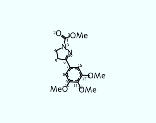 COC(=O)N1CCC(c2cc(OC)c(OC)c(OC)c2)=N1